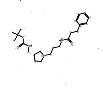 CC(C)(C)OC(=O)NC[C@H]1CCN(CCCNC(=O)CCc2ccccc2)C1